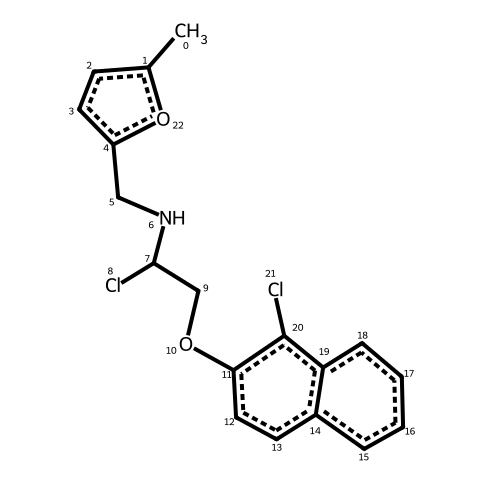 Cc1ccc(CNC(Cl)COc2ccc3ccccc3c2Cl)o1